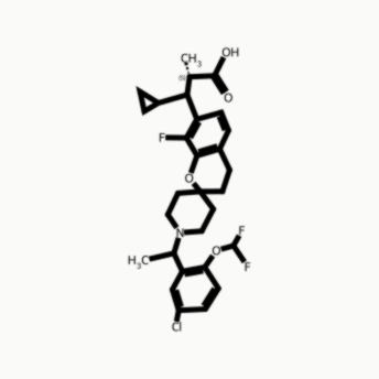 CC(c1cc(Cl)ccc1OC(F)F)N1CCC2(CCc3ccc(C(C4CC4)[C@H](C)C(=O)O)c(F)c3O2)CC1